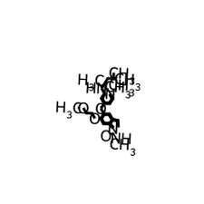 CNC(=O)n1ccc2cc(Oc3ccnc(NC(C)(C)CC(C)(C)C)c3)c(OCCOC)cc21